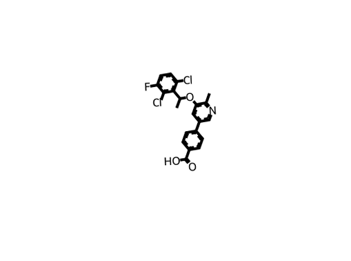 Cc1ncc(-c2ccc(C(=O)O)cc2)cc1OC(C)c1c(Cl)ccc(F)c1Cl